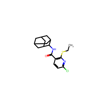 CCSc1nc(Cl)ccc1C(=O)NC1C2CC3CC(C2)CC1C3